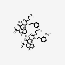 CCOC(=O)[C@H](CCc1ccccc1)N[C@@H](C)C(=O)N1[C@H](C(=O)[O-])C[C@@H]2CCC[C@@H]21.CCOC(=O)[C@H](CCc1ccccc1)N[C@@H](C)C(=O)N1[C@H](C(=O)[O-])C[C@@H]2CCC[C@@H]21.[Mg+2]